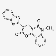 Cn1c(=O)c2cc(-c3nc4ccccc4s3)c(=O)oc2c2ccccc21